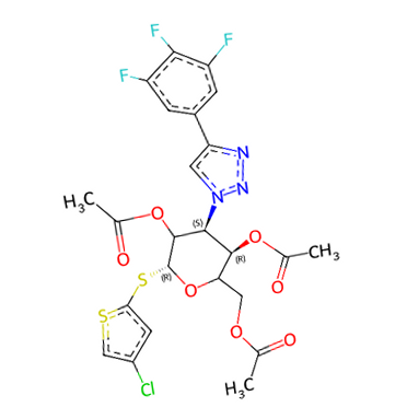 CC(=O)OCC1O[C@H](Sc2cc(Cl)cs2)C(OC(C)=O)[C@@H](n2cc(-c3cc(F)c(F)c(F)c3)nn2)[C@H]1OC(C)=O